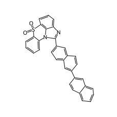 O=S1(=O)c2ccccc2-n2c(-c3ccc4cc(-c5ccc6ccccc6c5)ccc4c3)nc3cccc1c32